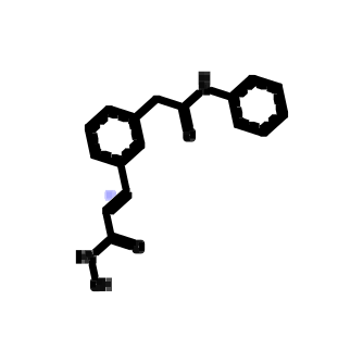 O=C(/C=C/c1cccc(CC(=O)Nc2ccccc2)c1)NO